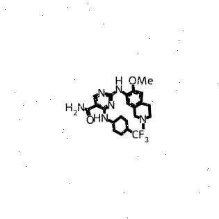 COc1cc2c(cc1Nc1ncc(C(N)=O)c(NC3CCC(C(F)(F)F)CC3)n1)CN(C)CC2